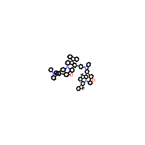 CC1(C)c2ccccc2-c2ccc(N(c3cccc4c3-c3ccccc3C4(C)C)c3cccc4oc5ccc(-c6ccc7c(c6)c6ccccc6n7-c6ccc(-c7ccc8c(c7)C7(c9ccccc9-c9ccccc97)c7cccc(N(c9ccc(-c%10ccccc%10)cc9)c9cccc%10oc%11ccc(-c%12ccc%13c(c%12)c%12ccccc%12n%13-c%12ccccc%12)cc%11c9%10)c7-8)cc6)cc5c34)cc21